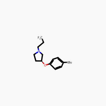 CC(C)(C)c1ccc(O[C@H]2CCN(CCC(F)(F)F)C2)cc1